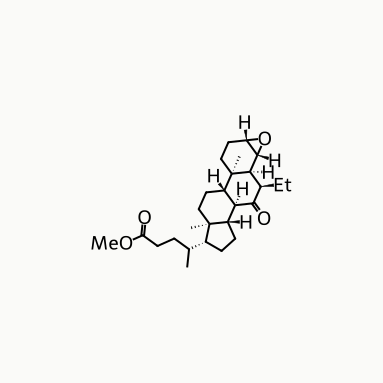 CC[C@H]1C(=O)[C@@H]2[C@H](CC[C@]3(C)[C@@H](C(C)CCC(=O)OC)CC[C@@H]23)[C@@]2(C)CC[C@@H]3O[C@@H]3[C@@H]12